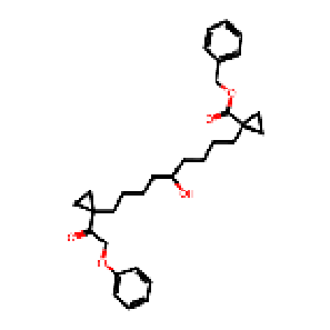 O=C(COc1ccccc1)C1(CCCCC(O)CCCCC2(C(=O)OCc3ccccc3)CC2)CC1